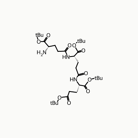 CC(C)(C)OC(=O)CC[C@H](NC(=O)CC[C@H](NC(=O)CC[C@H](N)C(=O)OC(C)(C)C)C(=O)OC(C)(C)C)C(=O)OC(C)(C)C